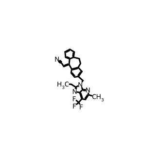 CCc1nc2c(C(F)(F)F)cc(C)nc2n1Cc1ccc2c(c1)CCc1ccccc1C2=CC#N